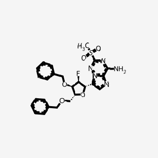 CS(=O)(=O)c1nc(N)c2ncc([C@@H]3O[C@H](COCc4ccccc4)[C@@H](OCc4ccccc4)[C@H]3F)n2n1